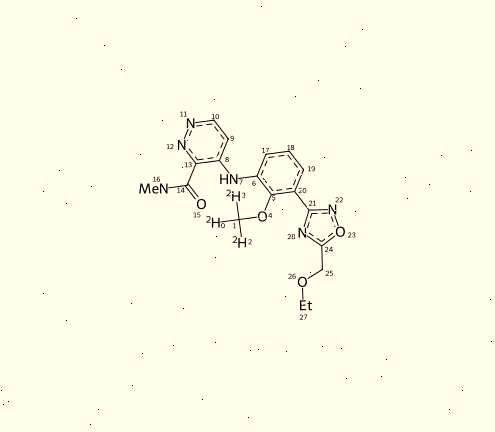 [2H]C([2H])([2H])Oc1c(Nc2ccnnc2C(=O)NC)cccc1-c1noc(COCC)n1